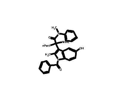 CCCCCC(NC(C)=O)(C(=O)N(C)c1ccccc1)c1c(C)n(C(=O)c2ccccc2)c2ccc(O)cc12